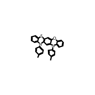 Cc1ccc(-n2c3ccccc3oc3cc4sc5ccccc5n(-c5ccc(C)cc5)c4cc32)cc1